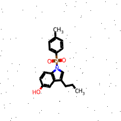 CCCc1cn(S(=O)(=O)c2ccc(C)cc2)c2ccc(O)cc12